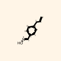 C=CCc1ccc(C=NO)cc1